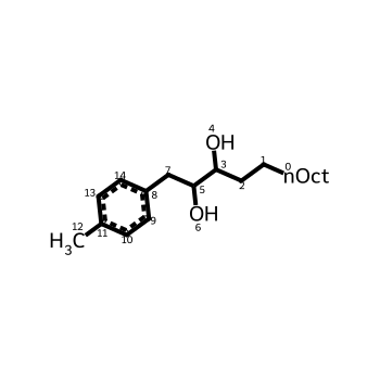 CCCCCCCCCCC(O)C(O)Cc1ccc(C)cc1